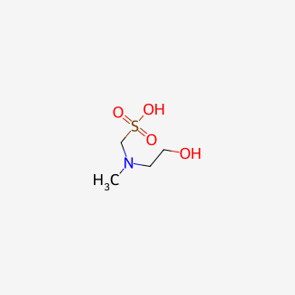 CN(CCO)CS(=O)(=O)O